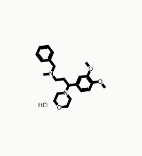 COc1ccc(C(CCN(C)Cc2ccccc2)N2CCOCC2)cc1OC.Cl